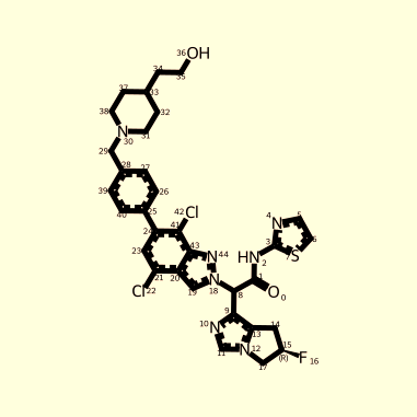 O=C(Nc1nccs1)C(c1ncn2c1C[C@@H](F)C2)n1cc2c(Cl)cc(-c3ccc(CN4CCC(CCO)CC4)cc3)c(Cl)c2n1